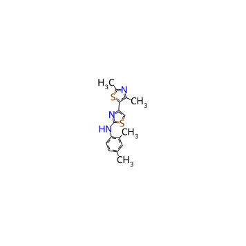 Cc1ccc(Nc2nc(-c3sc(C)nc3C)cs2)c(C)c1